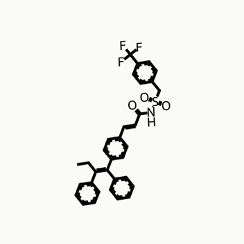 CCC(=C(c1ccccc1)c1ccc(C=CC(=O)NS(=O)(=O)Cc2ccc(C(F)(F)F)cc2)cc1)c1ccccc1